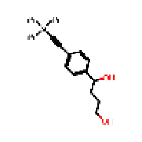 CC(C)[Si](C#Cc1ccc(C(O)CCCO)cc1)(C(C)C)C(C)C